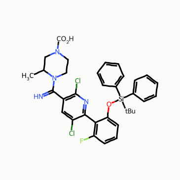 CC1CN(C(=O)O)CCN1C(=N)c1cc(Cl)c(-c2c(F)cccc2O[Si](c2ccccc2)(c2ccccc2)C(C)(C)C)nc1Cl